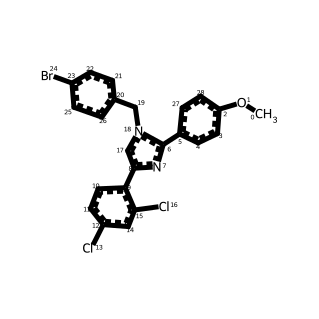 COc1ccc(-c2nc(-c3ccc(Cl)cc3Cl)cn2Cc2ccc(Br)cc2)cc1